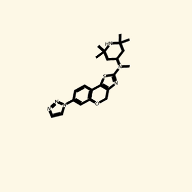 CN(c1nc2c(s1)-c1ccc(-n3ccnn3)cc1OC2)C1CC(C)(C)NC(C)(C)C1